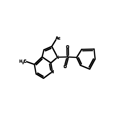 CC(=O)c1cc2c(C)ccnc2n1S(=O)(=O)c1ccccc1